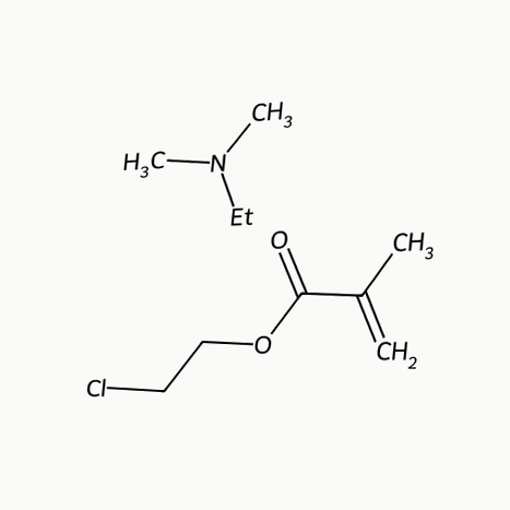 C=C(C)C(=O)OCCCl.CCN(C)C